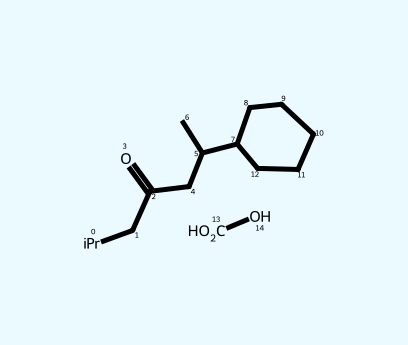 CC(C)CC(=O)CC(C)C1CCCCC1.O=C(O)O